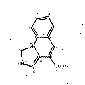 O=C(O)C1=Cc2ccccc2N2CNN=C12